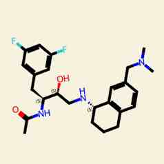 CC(=O)N[C@@H](Cc1cc(F)cc(F)c1)[C@@H](O)CN[C@H]1CCCc2ccc(CN(C)C)cc21